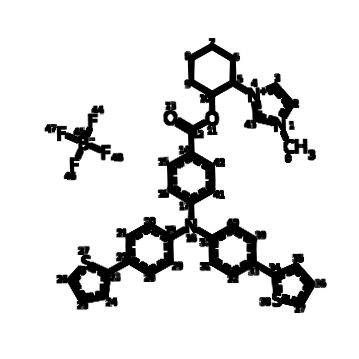 Cn1cc[n+](C2CCCCC2OC(=O)c2ccc(N(c3ccc(-c4cccs4)cc3)c3ccc(-c4cccs4)cc3)cc2)c1.F[B-](F)(F)F